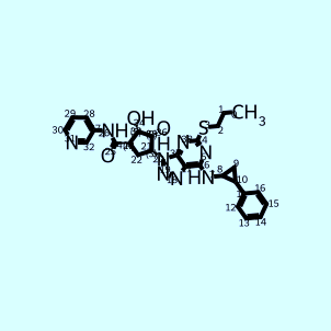 CCCSc1nc(NC2CC2c2ccccc2)c2nnn([C@H]3C[C@@H](C(=O)Nc4cccnc4)[C@H](O)[C@@H]3O)c2n1